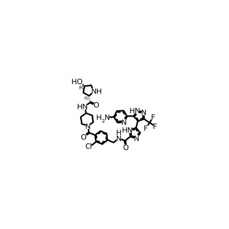 Nc1ccc(-c2[nH]nc(C(F)(F)F)c2-c2cnc(C(=O)NCc3ccc(C(=O)N4CCC(NC(=O)[C@@H]5C[C@@H](O)CN5)CC4)c(Cl)c3)[nH]2)nc1